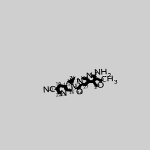 C[C@H]1OCc2c1c(N)nc1cnc(C(=O)N(Cc3ccc(C#N)cn3)C3CC3)cc21